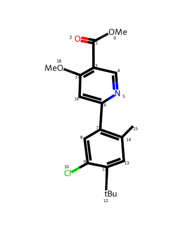 COC(=O)c1cnc(-c2cc(Cl)c(C(C)(C)C)cc2C)cc1OC